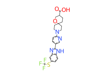 O=C(O)C1CCC2(CCN(c3ccc(-c4nc5cc(SC(F)(F)F)ccc5[nH]4)cn3)CC2)OC1